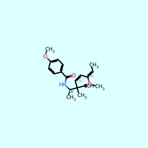 C#CC(C)(/C=C\C(=C/C)OC)[C@@H](C)NC(=O)c1ccc(OC)cc1